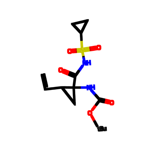 C=CC1CC1(NC(=O)OC(C)(C)C)C(=O)NS(=O)(=O)C1CC1